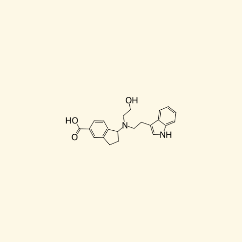 O=C(O)c1ccc2c(c1)CCC2N(CCO)CCc1c[nH]c2ccccc12